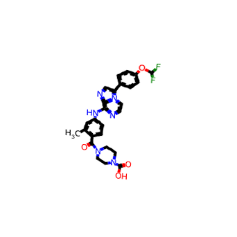 Cc1cc(Nc2nccn3c(-c4ccc(OC(F)F)cc4)cnc23)ccc1C(=O)N1CCN(C(=O)O)CC1